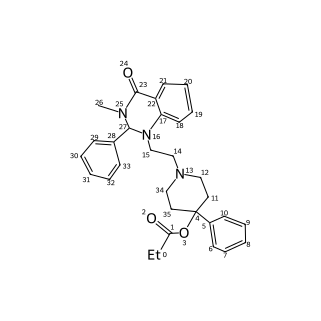 CCC(=O)OC1(c2ccccc2)CCN(CCN2c3ccccc3C(=O)N(C)C2c2ccccc2)CC1